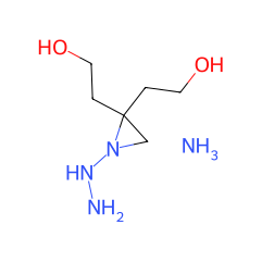 N.NNN1CC1(CCO)CCO